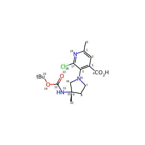 Cc1cc(C(=O)O)c(N2CC[C@](C)(NC(=O)OC(C)(C)C)C2)c(Cl)n1